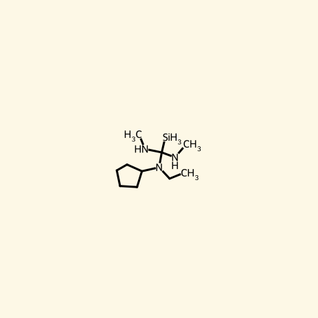 CCN(C1CCCC1)C([SiH3])(NC)NC